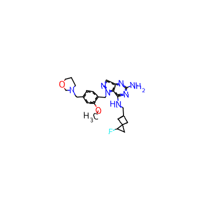 COc1cc(CN2CCCOC2)ccc1Cn1ncc2nc(N)nc(NCC3CC4(C3)CC4F)c21